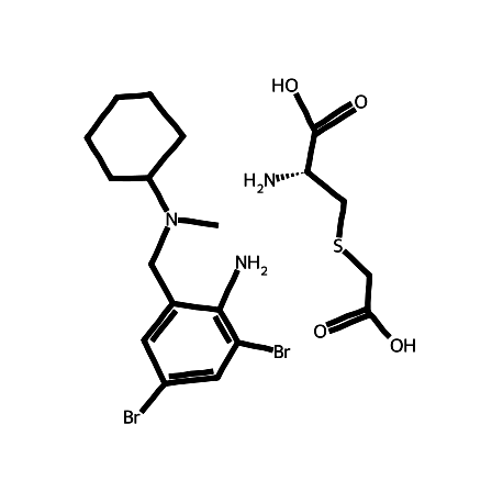 CN(Cc1cc(Br)cc(Br)c1N)C1CCCCC1.N[C@@H](CSCC(=O)O)C(=O)O